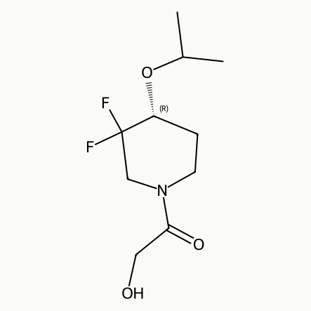 CC(C)O[C@@H]1CCN(C(=O)CO)CC1(F)F